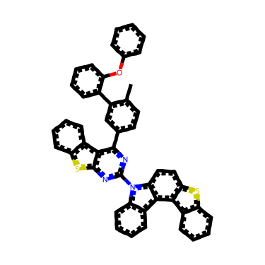 Cc1ccc(-c2nc(-n3c4ccccc4c4c5c(ccc43)sc3ccccc35)nc3sc4ccccc4c23)cc1-c1ccccc1Oc1ccccc1